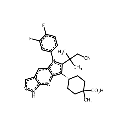 CC(C)(CC#N)c1c([C@H]2CC[C@](C)(C(=O)O)CC2)c2nc3[nH]ncc3cc2n1-c1ccc(F)c(F)c1